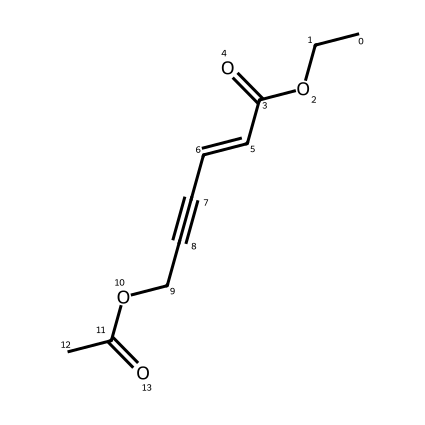 CCOC(=O)/C=C/C#CCOC(C)=O